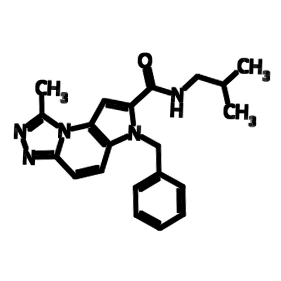 Cc1nnc2ccc3c(cc(C(=O)NCC(C)C)n3Cc3ccccc3)n12